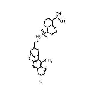 CN(C)c1cccc2c(S(=O)(=O)NCCC3CC4Cc5nc6cc(Cl)ccc6c(N)c5C(C3)C4)cccc12